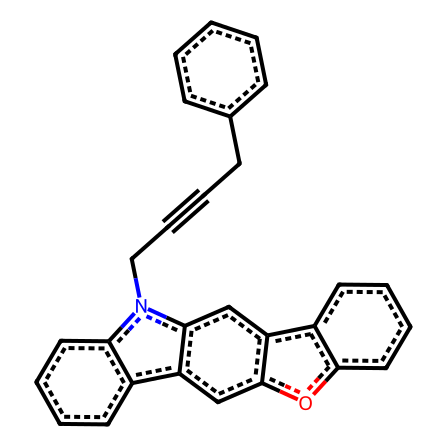 C(#CCn1c2ccccc2c2cc3oc4ccccc4c3cc21)Cc1ccccc1